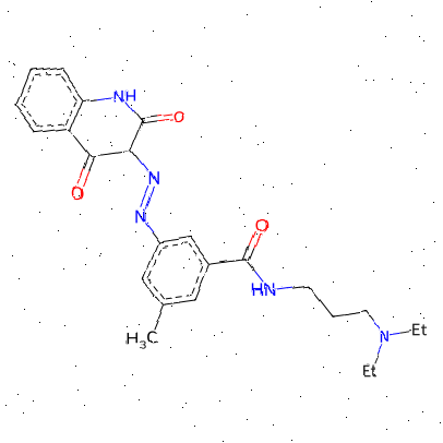 CCN(CC)CCCNC(=O)c1cc(C)cc(N=NC2C(=O)Nc3ccccc3C2=O)c1